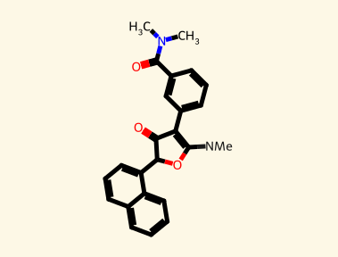 CNC1=C(c2cccc(C(=O)N(C)C)c2)C(=O)C(c2cccc3ccccc23)O1